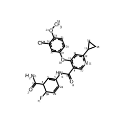 NC(=O)C1C=C(NC(=O)c2cnc(C3CC3)cc2Oc2ccc(OC(F)(F)F)c(Cl)c2)C=CC1F